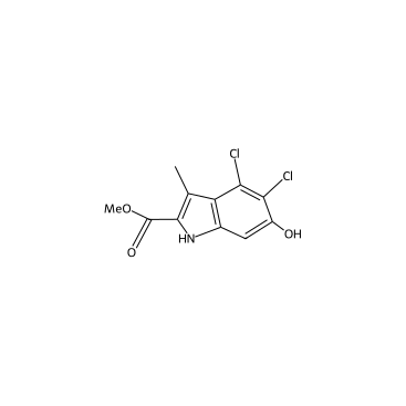 COC(=O)c1[nH]c2cc(O)c(Cl)c(Cl)c2c1C